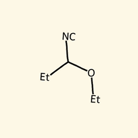 [C-]#[N+]C(CC)OCC